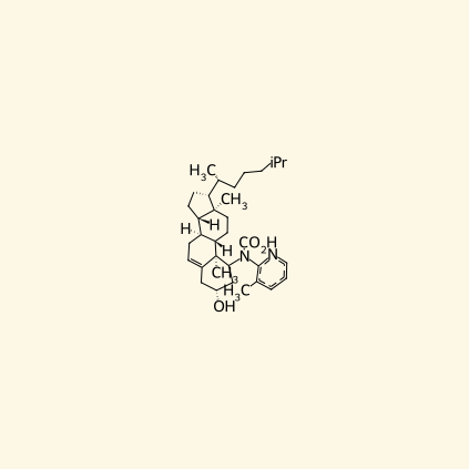 Cc1cccnc1N(C(=O)O)C1C[C@H](O)CC2=CC[C@H]3[C@@H]4CC[C@H]([C@H](C)CCCC(C)C)[C@@]4(C)CC[C@@H]3[C@]21C